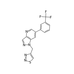 FC(F)(F)c1cccc(-c2cnc3cnn(Cc4csnn4)c3c2)c1